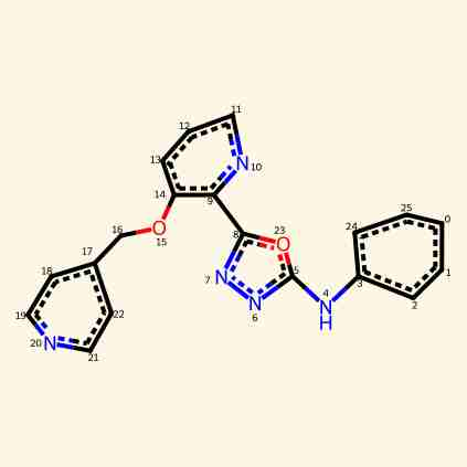 c1ccc(Nc2nnc(-c3ncccc3OCc3ccncc3)o2)cc1